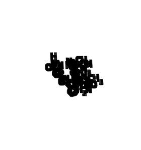 CC(NC(=O)[C@@H]1C[C@H](n2nncc2C(C)(C)O)CN1C(=O)/C(CC1CCCCC1)=N/C(=O)c1ccc2c(=O)[nH]cnc2c1)C(=O)C(N)=O